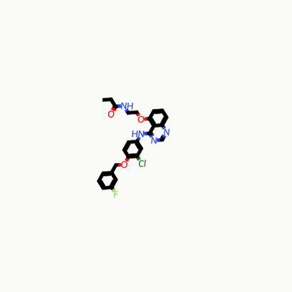 CCC(=O)NCCOc1cccc2ncnc(Nc3ccc(OCc4cccc(F)c4)c(Cl)c3)c12